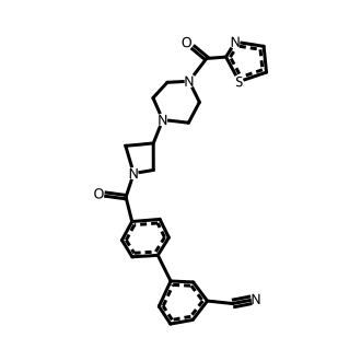 N#Cc1cccc(-c2ccc(C(=O)N3CC(N4CCN(C(=O)c5nccs5)CC4)C3)cc2)c1